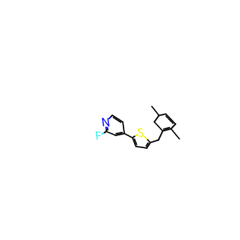 CC1=C(Cc2ccc(-c3ccnc(F)c3)s2)CC(C)C=C1